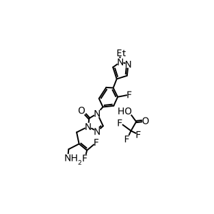 CCn1cc(-c2ccc(-n3cnn(CC(CN)=C(F)F)c3=O)cc2F)cn1.O=C(O)C(F)(F)F